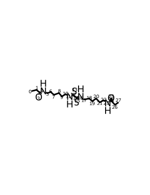 CCC(=O)NCCCCCCNC(=S)C(=S)NCCCCCCNC(=O)CC